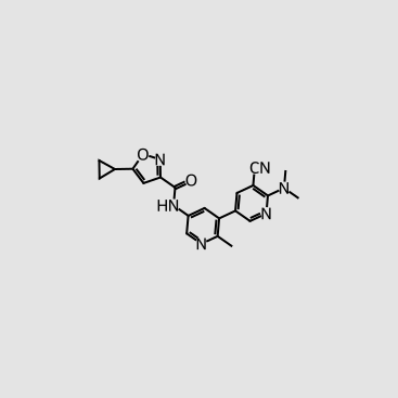 Cc1ncc(NC(=O)c2cc(C3CC3)on2)cc1-c1cnc(N(C)C)c(C#N)c1